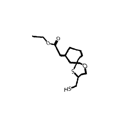 CCOC(=O)CC1CCCC2(C1)OCC(CS)S2